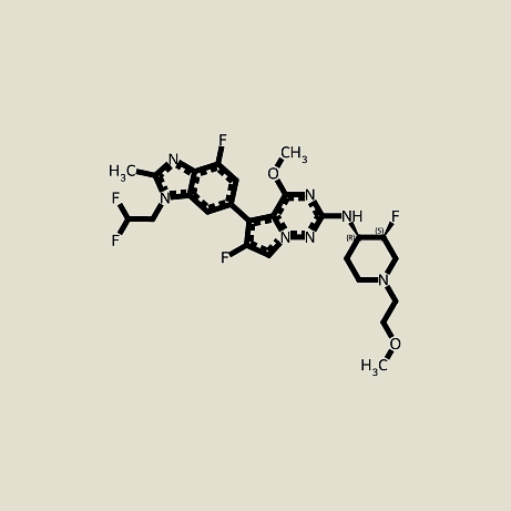 COCCN1CC[C@@H](Nc2nc(OC)c3c(-c4cc(F)c5nc(C)n(CC(F)F)c5c4)c(F)cn3n2)[C@@H](F)C1